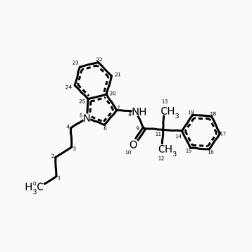 CCCCCn1cc(NC(=O)C(C)(C)c2ccccc2)c2ccccc21